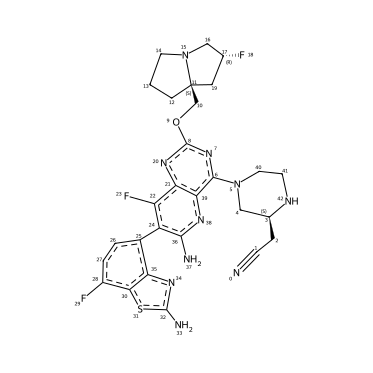 N#CC[C@H]1CN(c2nc(OC[C@@]34CCCN3C[C@H](F)C4)nc3c(F)c(-c4ccc(F)c5sc(N)nc45)c(N)nc23)CCN1